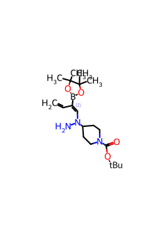 C=C/C(=C\N(N)C1CCN(C(=O)OC(C)(C)C)CC1)B1OC(C)(C)C(C)(C)O1